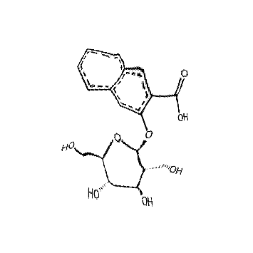 O=C(O)c1cc2ccccc2cc1O[C@@H]1O[C@H](CO)[C@@H](O)[C@H](O)[C@H]1O